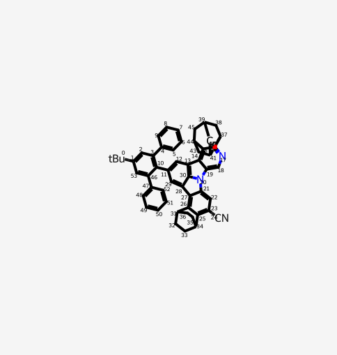 CC(C)(C)c1cc(-c2ccccc2)c(-c2cc3c4c5c(ncc4n4c6cc(C#N)c7c(c6c(c2)c34)C2CCC7CC2)C2CC3CC(C2)CC5C3)c(-c2ccccc2)c1